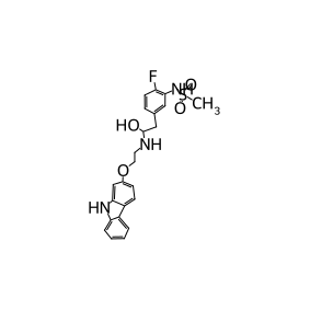 CS(=O)(=O)Nc1cc(CC(O)NCCOc2ccc3c(c2)[nH]c2ccccc23)ccc1F